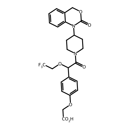 O=C(O)COc1ccc(C(OCC(F)(F)F)C(=O)N2CCC(N3C(=O)OCc4ccccc43)CC2)cc1